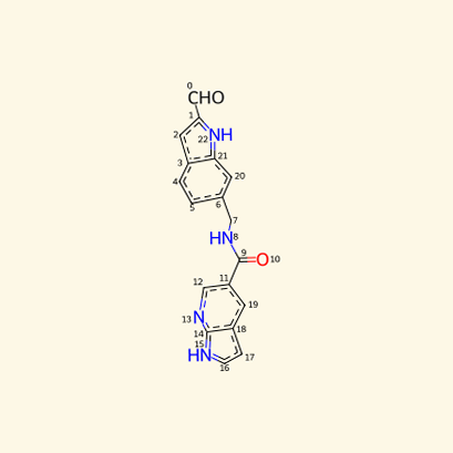 O=Cc1cc2ccc(CNC(=O)c3cnc4[nH]ccc4c3)cc2[nH]1